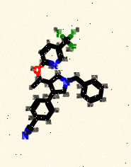 CC(Oc1ccc(C(F)(F)F)cn1)C1CN(Cc2ccccc2)CC1c1ccc(C#N)cc1